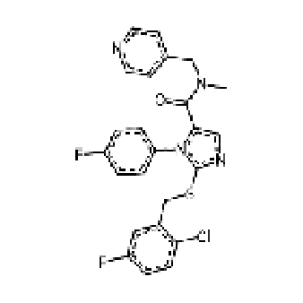 CN(Cc1ccncc1)C(=O)c1cnc(SCc2cc(F)ccc2Cl)n1-c1ccc(F)cc1